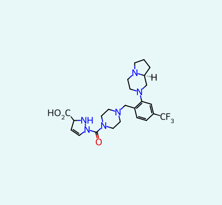 O=C(O)C1C=CN(C(=O)N2CCN(Cc3ccc(C(F)(F)F)cc3N3CCN4CCC[C@H]4C3)CC2)N1